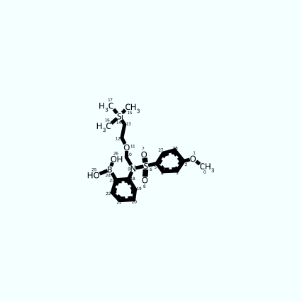 COc1ccc(S(=O)(=O)N(COCC[Si](C)(C)C)c2ccccc2B(O)O)cc1